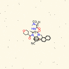 COc1ccc2ccccc2c1CN1C(=O)[C@@H](NC(=O)[C@H](C)N(C)C(=O)O)[C@H](C)N(C(=O)C2CCOCC2)c2cc(C#N)ccc21